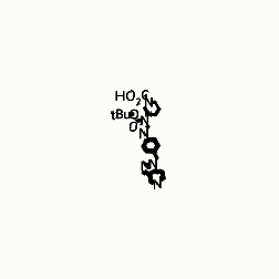 CC(C)(C)OC(=O)N(C=Nc1ccc(Cn2ncc3cnccc32)cc1)[C@@H]1CCCN(C(=O)O)C1